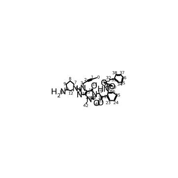 CC#CCn1c(N2CCCC(N)C2)nc2c1c(=O)n(CC(=O)c1ccccc1NS(=O)(=O)Cc1ccccc1)c(=O)n2C